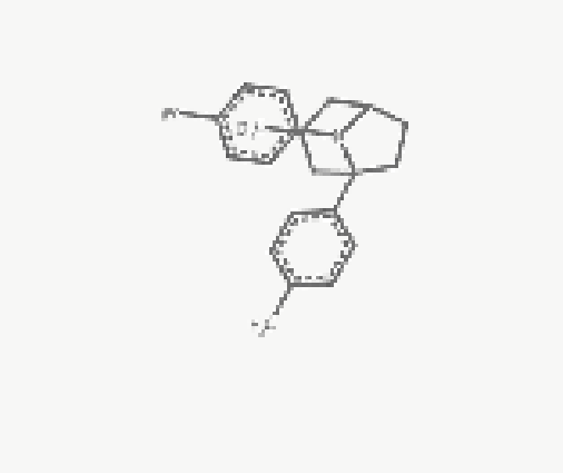 CC(C)c1ccc(N2C3CCC2(c2ccc(C(F)(F)F)cc2)CC(C(=O)O)C3)cc1